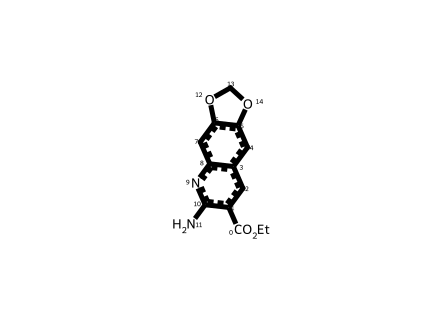 CCOC(=O)c1cc2cc3c(cc2nc1N)OCO3